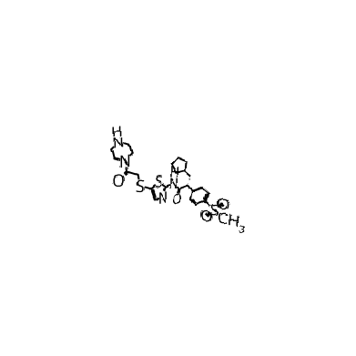 CS(=O)(=O)c1ccc([C@@H](CC2CCCC2)C(=O)Nc2ncc(SCC(=O)N3CCNCC3)s2)cc1